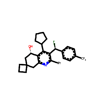 CC(C)c1nc2c(c(C3CCCC3)c1[C@@H](F)c1ccc(C(F)(F)F)cc1)[C@@H](O)CC1(CCC1)C2